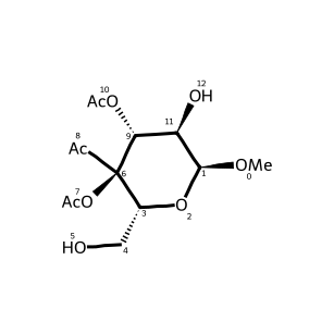 CO[C@H]1O[C@H](CO)[C@](OC(C)=O)(C(C)=O)[C@H](OC(C)=O)[C@H]1O